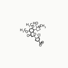 COc1cc(OC)c2c(=O)cc(-c3ccc([N+](=O)[O-])cc3Cl)oc2c1C1CCN(C)C1CO